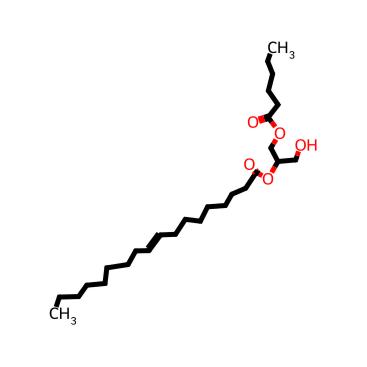 CCCCCCCCC=CCCCCCCCC(=O)OC(CO)COC(=O)CCCCC